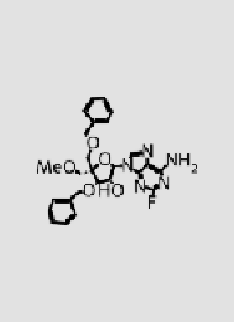 COC[C@]1(COCc2ccccc2)O[C@@H](n2cnc3c(N)nc(F)nc32)[C@H](O)[C@@H]1OCc1ccccc1